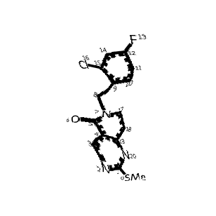 CSc1ncc2c(=O)n(Cc3ccc(F)cc3Cl)ccc2n1